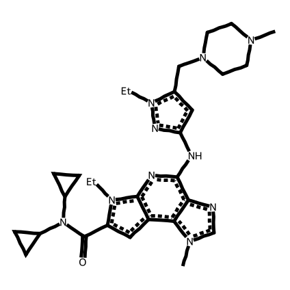 CCn1nc(Nc2nc3c(cc(C(=O)N(C4CC4)C4CC4)n3CC)c3c2ncn3C)cc1CN1CCN(C)CC1